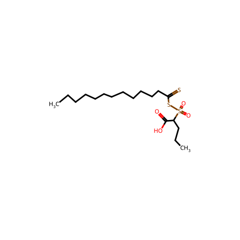 CCCCCCCCCCCCC(=S)SS(=O)(=O)C(CCC)C(=O)O